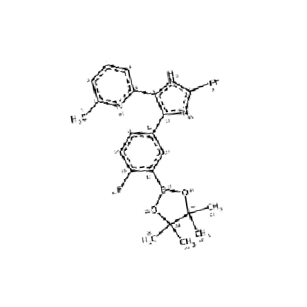 Cc1cccc(-c2[nH]c(C(C)C)nc2-c2ccc(F)c(B3OC(C)(C)C(C)(C)O3)c2)n1